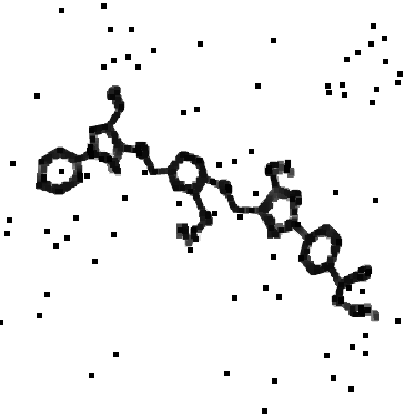 COC(=O)c1ccc(-c2nc(COc3ccc(COc4nn(-c5ccccc5)cc4C=O)cc3OC)c(C)o2)cc1